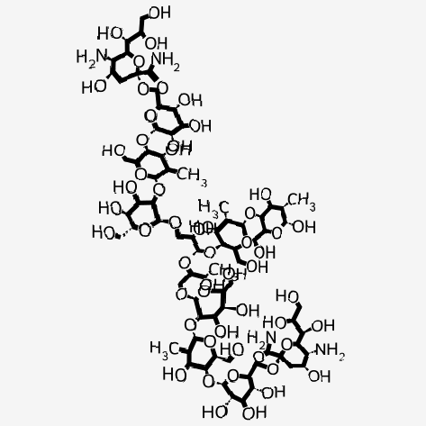 CC1C(O)[C@H](O[C@@H]2OC(CO[C@]3(C(N)=O)C[C@@H](O)[C@@H](N)C([C@H](O)C(O)CO)O3)[C@H](O)C(O)[C@@H]2O)[C@H](CO)O[C@H]1O[C@@H]1C(O)[C@H](O)C(CO)O[C@@H]1OCC(O[C@@H](O[C@@H]1C(CO)O[C@@H](O[C@@H]2C(CO)O[C@@H](O)[C@@H](C)C2O)[C@@H](C)C1O)[C@H](O)CO[C@H]1O[C@H](CO)[C@@H](O)C(O)C1O[C@@H]1OC(CO)[C@@H](O[C@@H]2OC(CO[C@]3(C(N)=O)C[C@@H](O)[C@@H](N)C([C@H](O)C(O)CO)O3)[C@H](O)C(O)[C@@H]2O)[C@H](O)C1C)[C@H](C)O